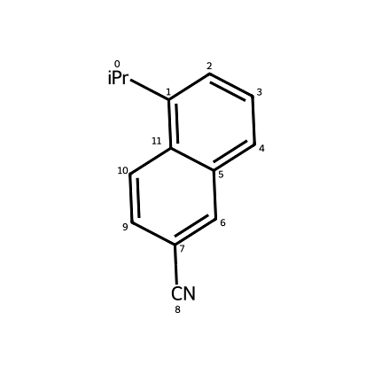 CC(C)c1cccc2cc(C#N)ccc12